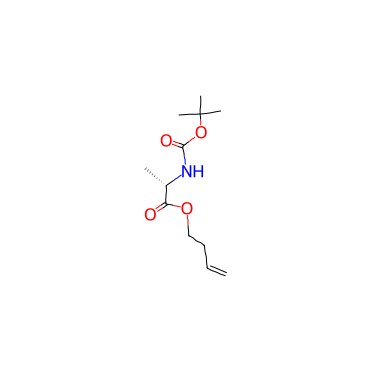 C=CCCOC(=O)[C@H](C)NC(=O)OC(C)(C)C